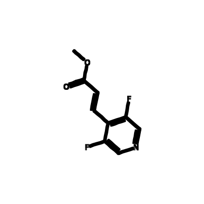 COC(=O)C=Cc1c(F)cncc1F